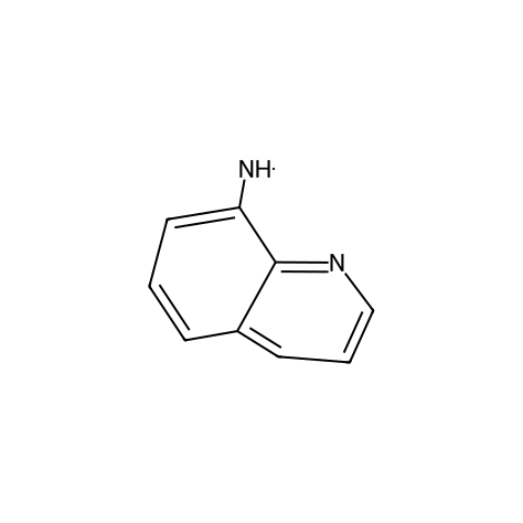 [NH]c1cccc2cccnc12